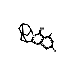 N=c1c2c(I)cc(Br)cc2nc2n1C1CC3CC(CC2C3)C1